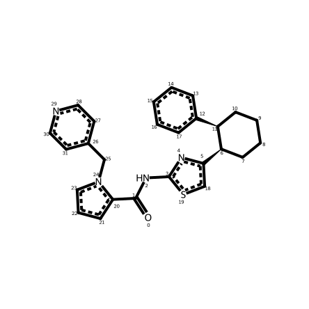 O=C(Nc1nc([C@@H]2CCCC[C@@H]2c2ccccc2)cs1)c1cccn1Cc1ccncc1